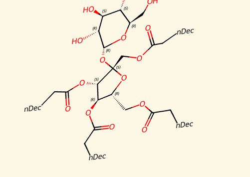 CCCCCCCCCCCC(=O)OC[C@H]1O[C@@](COC(=O)CCCCCCCCCCC)(O[C@H]2O[C@H](CO)[C@@H](O)[C@H](O)[C@H]2O)[C@@H](OC(=O)CCCCCCCCCCC)[C@@H]1OC(=O)CCCCCCCCCCC